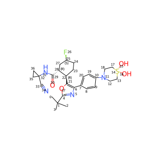 CC(C)(C)c1nc(-c2ccc(N3CCS(O)(O)CC3)cc2)c([C@@H]2CC[C@H](F)C[C@H]2C(=O)NC2(C#N)CC2)o1